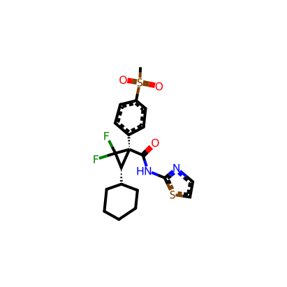 CS(=O)(=O)c1ccc([C@]2(C(=O)Nc3nccs3)[C@H](C3CCCCC3)C2(F)F)cc1